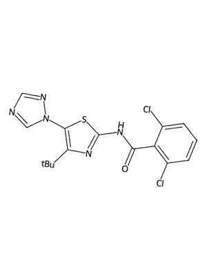 CC(C)(C)c1nc(NC(=O)c2c(Cl)cccc2Cl)sc1-n1cncn1